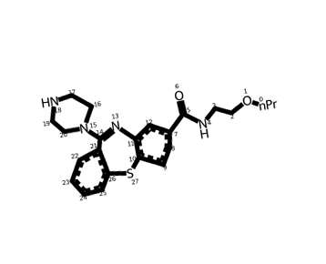 CCCOCCNC(=O)c1ccc2c(c1)N=C(N1CCNCC1)c1ccccc1S2